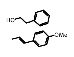 CC=Cc1ccc(OC)cc1.OCCc1ccccc1